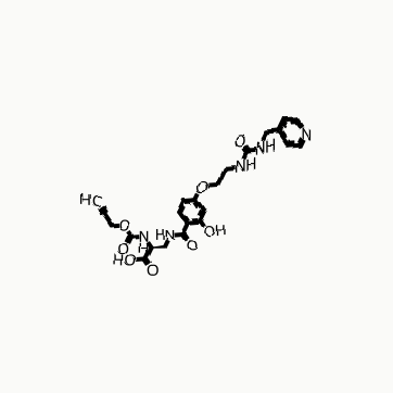 C#CCOC(=O)N[C@@H](CNC(=O)c1ccc(OCCNC(=O)NCc2ccncc2)cc1O)C(=O)O